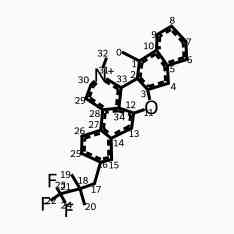 Cc1c2c(cc3ccccc13)Oc1cc3cc(CC(C)(C)C(F)(F)F)ccc3c3cc[n+](C)c-2c13